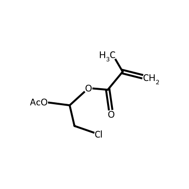 C=C(C)C(=O)OC(CCl)OC(C)=O